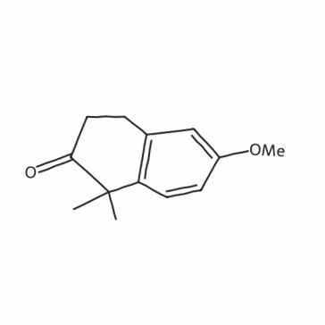 COc1ccc2c(c1)CCC(=O)C2(C)C